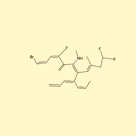 C=C/C=C(\C=C/C)C(/C=C(\C)CC(F)F)=C(/NC)C(=C)/C(F)=C\C=C/Br